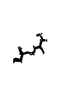 C=CC(=O)OCC(C)NCCC